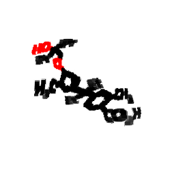 CCC(CC)(c1ccc(OCC(O)(C(C)C)C(C)C)c(C)c1)c1ccc(C(=O)O)c(C)c1